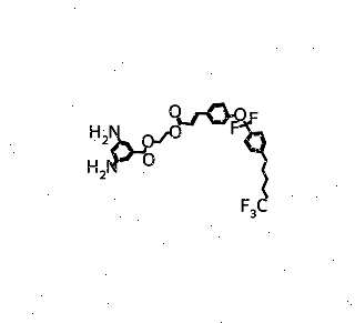 Nc1cc(N)cc(C(=O)OCCOC(=O)C=Cc2ccc(OC(F)(F)c3ccc(CCCCCC(F)(F)F)cc3)cc2)c1